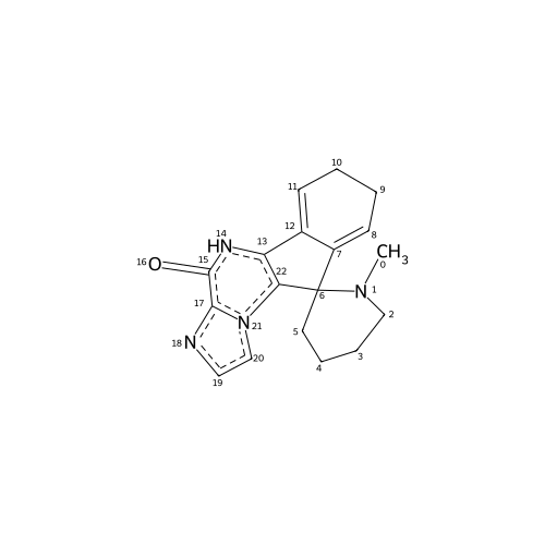 CN1CCCCC12C1=CCCC=C1c1[nH]c(=O)c3nccn3c12